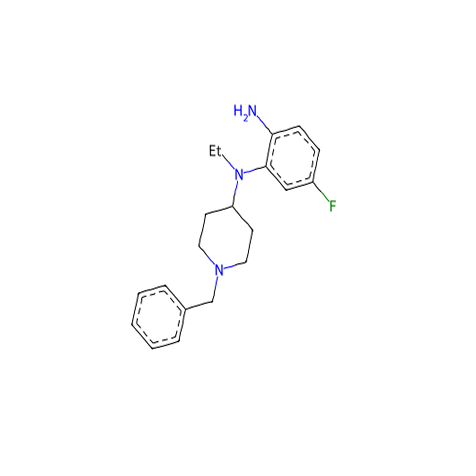 CCN(c1cc(F)ccc1N)C1CCN(Cc2ccccc2)CC1